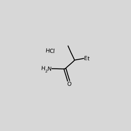 CCC(C)C(N)=O.Cl